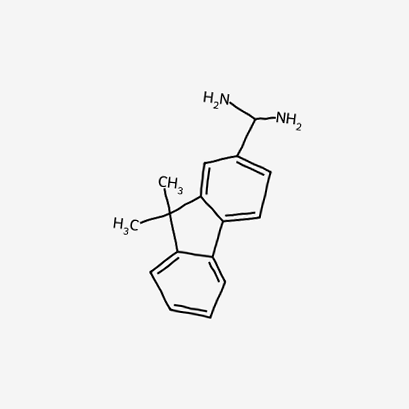 CC1(C)c2ccccc2-c2ccc(C(N)N)cc21